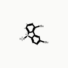 CC(C)(C)c1ccc2c(c1)c1c(C(C)(C)C)cccc1n2N